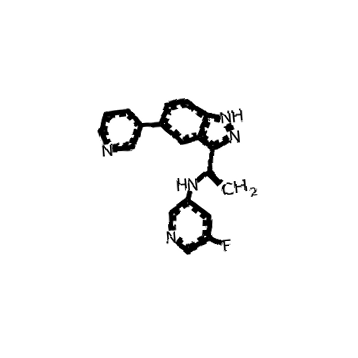 C=C(Nc1cncc(F)c1)c1n[nH]c2ccc(-c3cccnc3)cc12